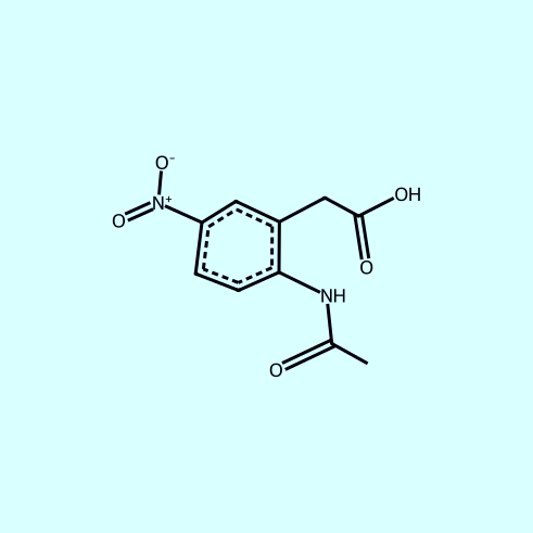 CC(=O)Nc1ccc([N+](=O)[O-])cc1CC(=O)O